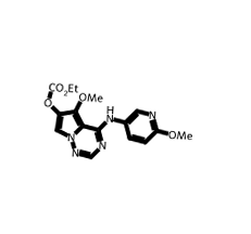 CCOC(=O)Oc1cn2ncnc(Nc3ccc(OC)nc3)c2c1OC